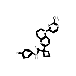 Cc1nccc(N2CCCc3nc(C4(C(=O)Nc5ccc(F)cc5)CCC4)ccc32)n1